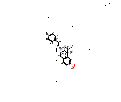 COc1ccc2c(c1)[C@H]1C[C@@H](C2)N(CCc2ccccc2)C[C@H]1C